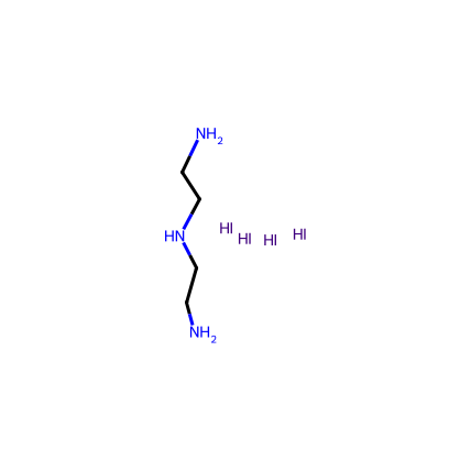 I.I.I.I.NCCNCCN